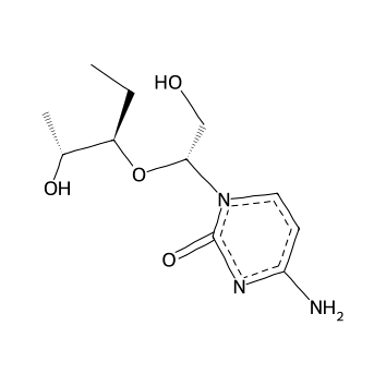 CC[C@@H](O[C@H](CO)n1ccc(N)nc1=O)[C@@H](C)O